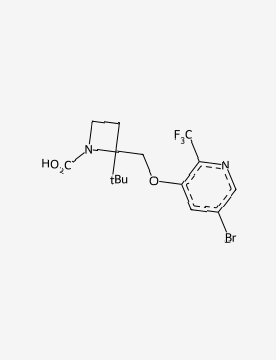 CC(C)(C)C1(COc2cc(Br)cnc2C(F)(F)F)CCN1C(=O)O